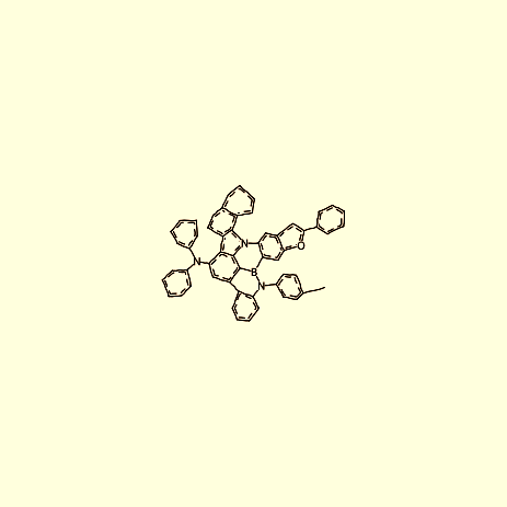 Cc1ccc(N2B3c4cc5oc(-c6ccccc6)cc5cc4-n4c5c3c(cc(N(c3ccccc3)c3ccccc3)c5c3ccc5ccccc5c34)-c3ccccc32)cc1